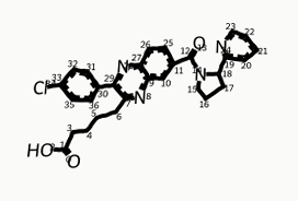 O=C(O)CCCCc1nc2cc(C(=O)N3CCCC3c3ccccn3)ccc2nc1-c1ccc(Cl)cc1